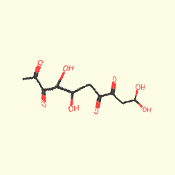 CC(=O)C(=O)C(O)C(O)CC(=O)C(=O)CC(O)O